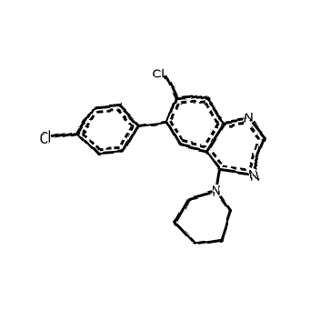 Clc1ccc(-c2cc3c(N4CCCCC4)ncnc3cc2Cl)cc1